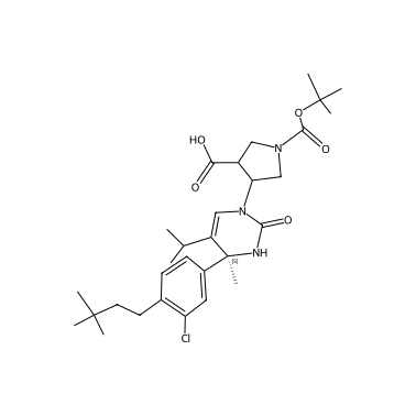 CC(C)C1=CN(C2CN(C(=O)OC(C)(C)C)CC2C(=O)O)C(=O)N[C@@]1(C)c1ccc(CCC(C)(C)C)c(Cl)c1